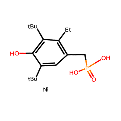 CCc1c(CP(=O)(O)O)cc(C(C)(C)C)c(O)c1C(C)(C)C.[Ni]